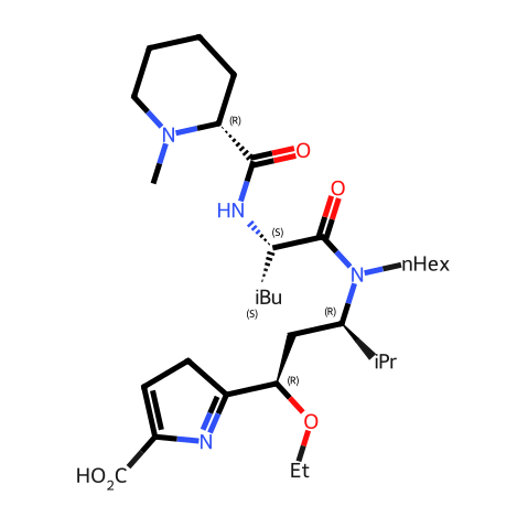 CCCCCCN(C(=O)[C@@H](NC(=O)[C@H]1CCCCN1C)[C@@H](C)CC)[C@H](C[C@@H](OCC)C1=NC(C(=O)O)=CC1)C(C)C